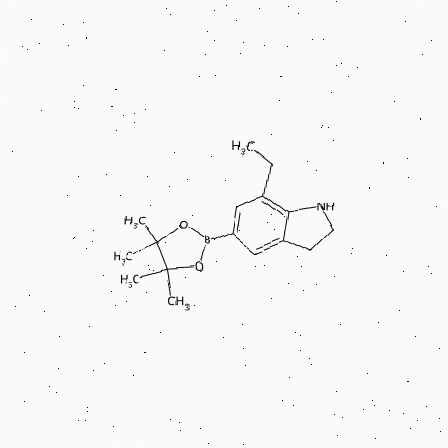 CCc1cc(B2OC(C)(C)C(C)(C)O2)cc2c1NCC2